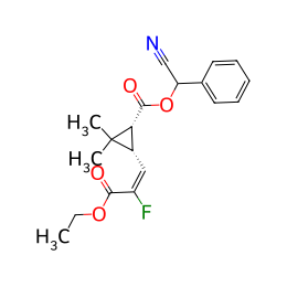 CCOC(=O)/C(F)=C\[C@H]1[C@@H](C(=O)OC(C#N)c2ccccc2)C1(C)C